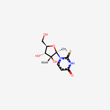 CN[C@@]1(O)[C@H](O)[C@@H](CO)O[C@@]1(C)n1ccc(=O)[nH]c1=S